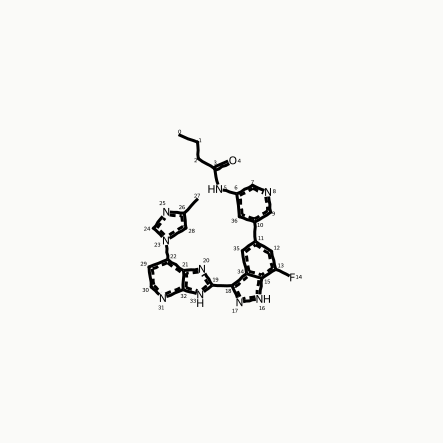 CCCC(=O)Nc1cncc(-c2cc(F)c3[nH]nc(-c4nc5c(-n6cnc(C)c6)ccnc5[nH]4)c3c2)c1